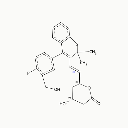 CC1(C)Sc2ccccc2C(c2ccc(F)c(CO)c2)=C1/C=C/[C@@H]1C[C@@H](O)CC(=O)O1